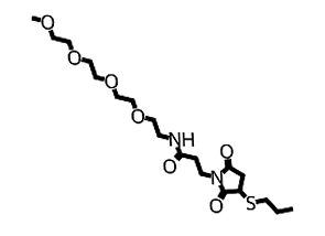 CCCSC1CC(=O)N(CCC(=O)NCCOCCOCCOCCOC)C1=O